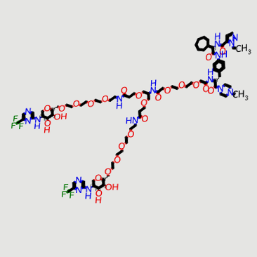 CCn1nccc1C(=O)N[C@H](C(=O)Nc1ccc(C[C@@H](NC(=O)COCCOCCOCC(=O)NC(COCCC(=O)NCCOCCOCCOCCOC[C@H]2OC[C@H](Nc3cncc(C(F)(F)F)n3)[C@@H](O)[C@H]2O)COCCC(=O)NCCOCCOCCOCCOC[C@H]2OC[C@H](Nc3cncc(C(F)(F)F)n3)[C@@H](O)[C@H]2O)C(=O)N2CCN(C)CC2)cc1)C1CCCCCC1